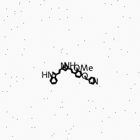 COc1cc(OCc2ccncc2)ccc1C=Cc1cc(C=Cc2c[nH]c3ccccc23)n[nH]1